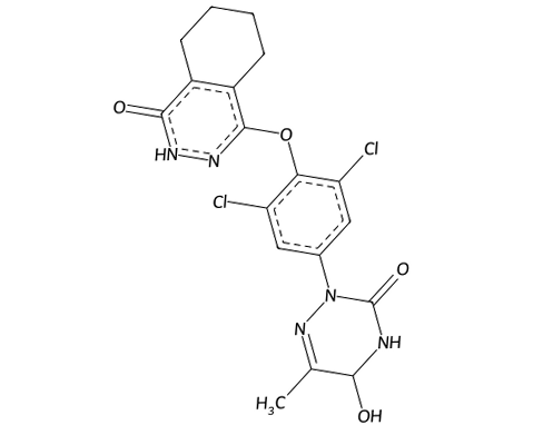 CC1=NN(c2cc(Cl)c(Oc3n[nH]c(=O)c4c3CCCC4)c(Cl)c2)C(=O)NC1O